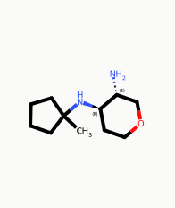 CC1(N[C@@H]2CCOC[C@H]2N)CCCC1